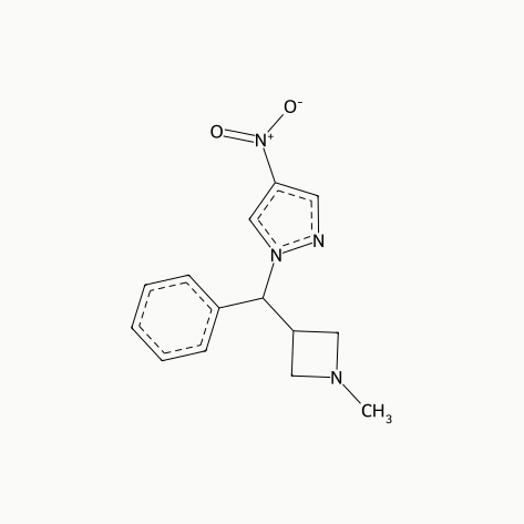 CN1CC(C(c2ccccc2)n2cc([N+](=O)[O-])cn2)C1